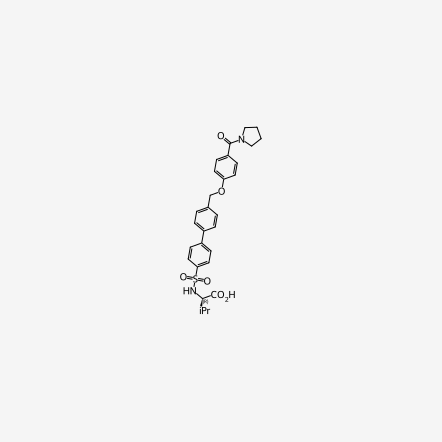 CC(C)[C@@H](NS(=O)(=O)c1ccc(-c2ccc(COc3ccc(C(=O)N4CCCC4)cc3)cc2)cc1)C(=O)O